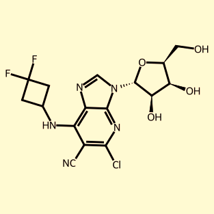 N#Cc1c(Cl)nc2c(ncn2[C@@H]2O[C@@H](CO)[C@@H](O)[C@H]2O)c1NC1CC(F)(F)C1